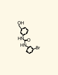 O=C(Nc1cccc(Br)c1)Nc1cccc(CO)c1